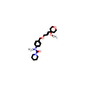 COC1(/C=C/COCc2ccc(N(C)C(=O)N3CCCCC3)cc2)CCOCC1